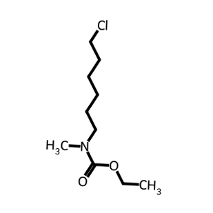 CCOC(=O)N(C)CCCCCCCl